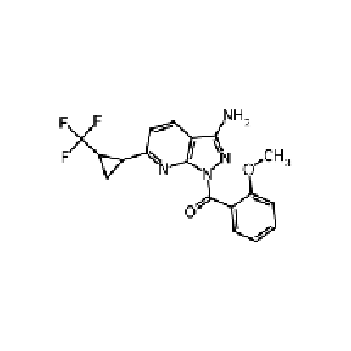 COc1ccccc1C(=O)n1nc(N)c2ccc(C3CC3C(F)(F)F)nc21